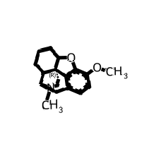 COc1ccc2c3c1OC1CCCC4C(C2)N(C)CC[C@@]314